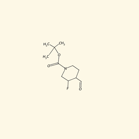 CC(C)(C)OC(=O)N1CCC(C=O)C(F)C1